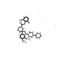 O=C(Cc1c(F)cccc1Cl)N1CCCC(CCN2CCN(C3CCCCC3)CC2)(c2ccc(C(Cl)(Cl)Cl)c(C(Cl)(Cl)Cl)c2)C1